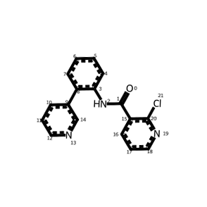 O=C(Nc1ccccc1-c1cccnc1)c1cccnc1Cl